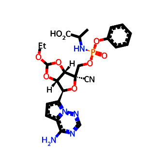 CCOC1O[C@H]2[C@H](c3ccc4c(N)ncnn34)O[C@](C#N)(CO[P@@](=O)(NC(C)C(=O)O)Oc3ccccc3)[C@H]2O1